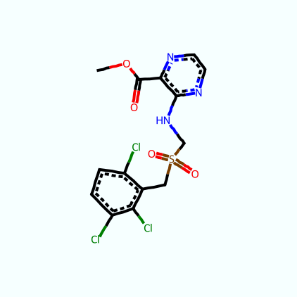 COC(=O)c1nccnc1NCS(=O)(=O)Cc1c(Cl)ccc(Cl)c1Cl